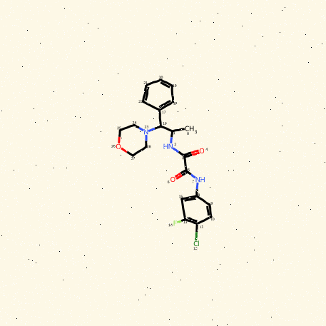 CC(NC(=O)C(=O)Nc1ccc(Cl)c(F)c1)C(c1ccccc1)N1CCOCC1